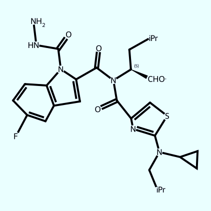 CC(C)C[C@@H]([C]=O)N(C(=O)c1csc(N(CC(C)C)C2CC2)n1)C(=O)c1cc2cc(F)ccc2n1C(=O)NN